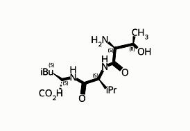 CC[C@H](C)[C@H](NC(=O)[C@@H](NC(=O)[C@@H](N)[C@@H](C)O)C(C)C)C(=O)O